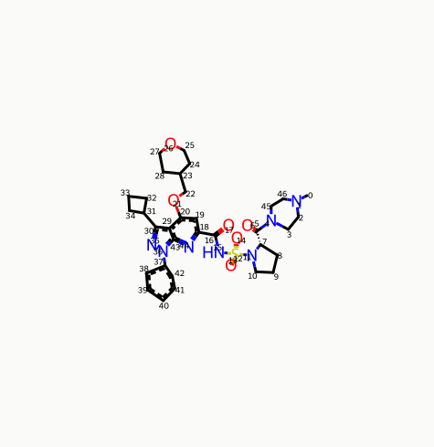 CN1CCN(C(=O)[C@@H]2CCCN2S(=O)(=O)NC(=O)c2cc(OCC3CCOCC3)c3c(C4CCC4)nn(-c4ccccc4)c3n2)CC1